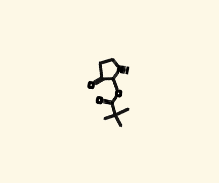 CC(C)(C)C(=O)OC1NCCC1=O